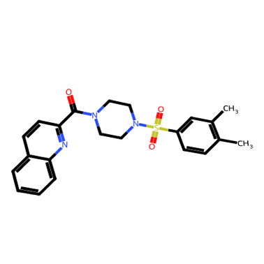 Cc1ccc(S(=O)(=O)N2CCN(C(=O)c3ccc4ccccc4n3)CC2)cc1C